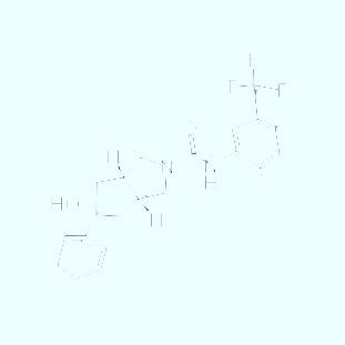 O=C(Nc1cccc(C(F)(F)F)c1)N1C[C@@H]2C[C@@](O)(c3ccccc3)C[C@@H]2C1